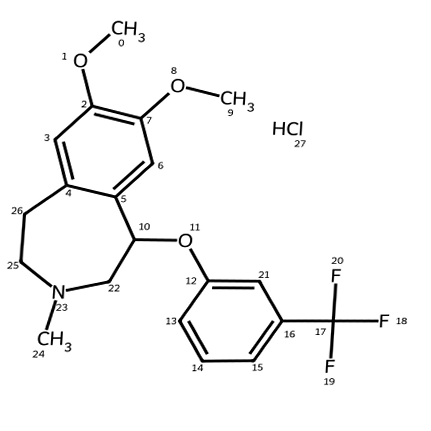 COc1cc2c(cc1OC)C(Oc1cccc(C(F)(F)F)c1)CN(C)CC2.Cl